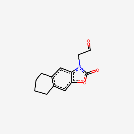 O=CCn1c(=O)oc2cc3c(cc21)CCCC3